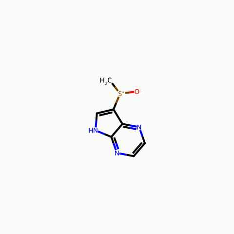 C[S+]([O-])c1c[nH]c2nccnc12